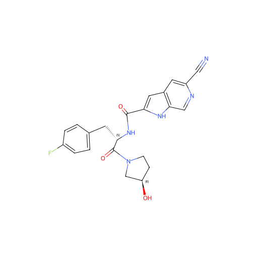 N#Cc1cc2cc(C(=O)N[C@@H](Cc3ccc(F)cc3)C(=O)N3CC[C@@H](O)C3)[nH]c2cn1